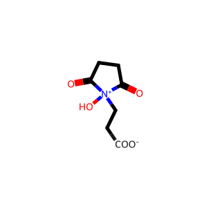 O=C([O-])CC[N+]1(O)C(=O)CCC1=O